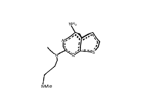 CNCCN(C)c1nc(N)c2ccsc2n1